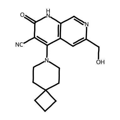 N#Cc1c(N2CCC3(CCC3)CC2)c2cc(CO)ncc2[nH]c1=O